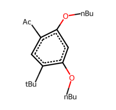 CCCCOc1cc(OCCCC)c(C(C)(C)C)cc1C(C)=O